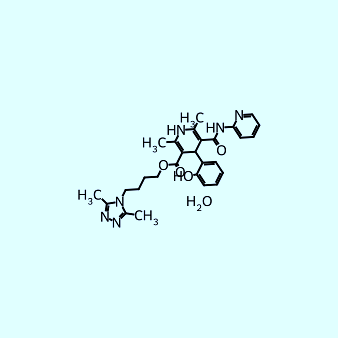 CC1=C(C(=O)Nc2ccccn2)C(c2ccccc2O)C(C(=O)OCCCCn2c(C)nnc2C)=C(C)N1.O